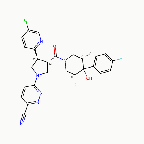 C[C@@H]1CN(C(=O)[C@@H]2CN(c3ccc(C#N)nn3)C[C@H]2c2ccc(Cl)cn2)C[C@H](C)C1(O)c1ccc(F)cc1